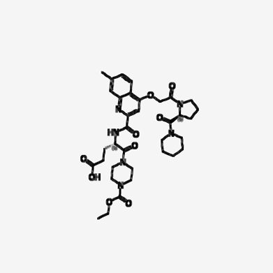 CCOC(=O)N1CCN(C(=O)[C@H](CCC(=O)O)NC(=O)c2cc(OCC(=O)N3CCC[C@H]3C(=O)N3CCCCC3)c3ccc(C)cc3n2)CC1